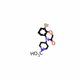 O=C(O)N1CCC(N2C(=O)COc3c(Br)cccc32)CC1